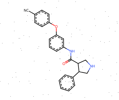 N#Cc1ccc(Oc2cccc(NC(=O)C3CNCC3c3ccccc3)c2)cc1